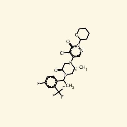 CC(c1ccc(F)cc1C(F)(F)F)N1C[C@@H](C)N(c2cnn(C3CCCCO3)c(=O)c2Cl)CC1=O